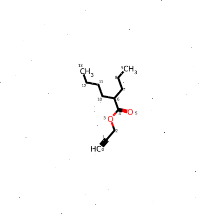 C#CCOC(=O)C(CCC)CCCC